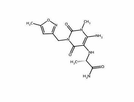 Cc1cc(Cn2c(=O)c(N[C@@H](C)C(N)=O)c(N)n(C)c2=O)no1